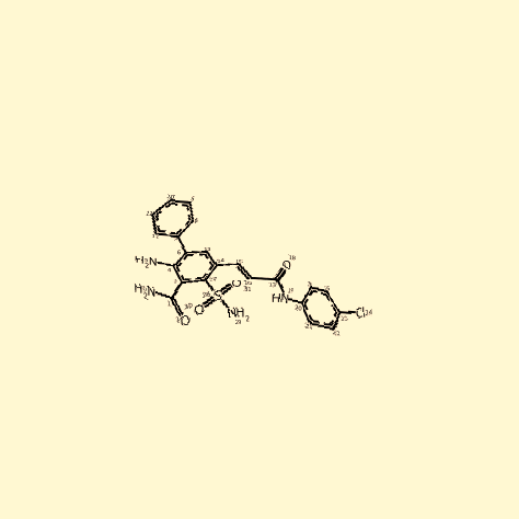 NC(=O)c1c(N)c(-c2ccccc2)cc(C=CC(=O)Nc2ccc(Cl)cc2)c1S(N)(=O)=O